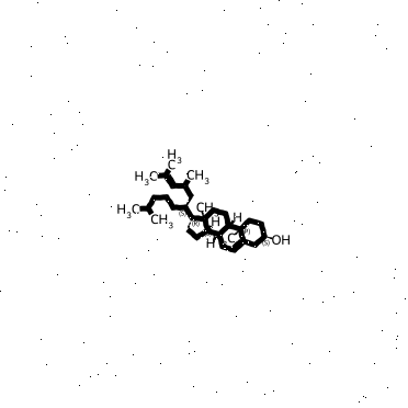 CC(C)=CC(C)C[C@H](CCCC(C)C)[C@H]1CC[C@H]2[C@@H]3CC=C4C[C@@H](O)CC[C@]4(C)[C@H]3CC[C@]12C